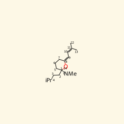 CNC1(CCC(C)C)CCC/C(=C\C=C(C)C)O1